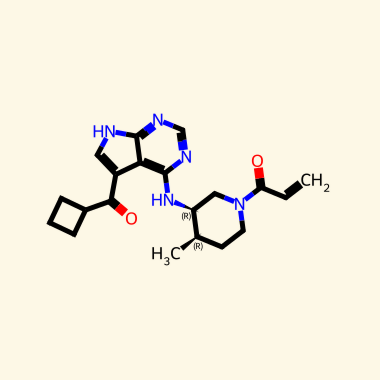 C=CC(=O)N1CC[C@@H](C)[C@@H](Nc2ncnc3[nH]cc(C(=O)C4CCC4)c23)C1